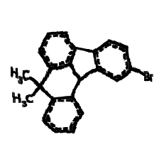 CC1(C)c2ccccc2C2c3cc(Br)ccc3-c3cccc1c32